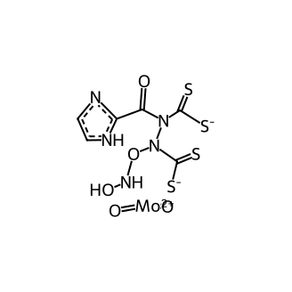 O=C(c1ncc[nH]1)N(C(=S)[S-])N(ONO)C(=S)[S-].[O]=[Mo+2]=[O]